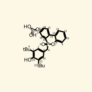 CC(C)(C)c1cc(CP2(=O)Oc3ccccc3-c3ccccc32)cc(C(C)(C)C)c1O.OP(O)O